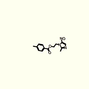 Cc1ccc(C(=O)OCCn2c(N=O)cnc2C)cc1